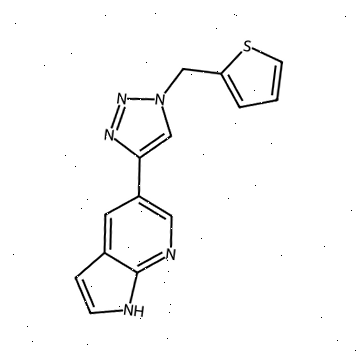 c1csc(Cn2cc(-c3cnc4[nH]ccc4c3)nn2)c1